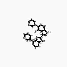 Fc1c(-c2cccnc2)ccc2[nH]nc(-c3nc4c(-c5cccnc5)nccc4[nH]3)c12